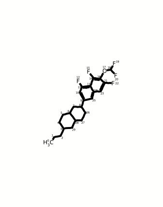 CCCC1CCC2CC(c3cc(F)c4c(F)c(OC(F)F)c(F)cc4c3)CCC2C1